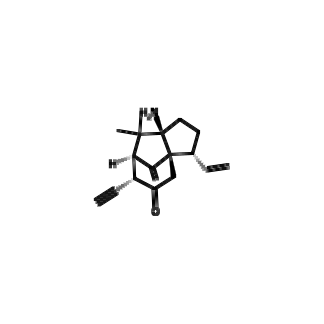 C#C[C@H]1C(=O)C[C@@]23C(=C)[C@@H]1C(C)(C)[C@]2(N)CC[C@@H]3C=C